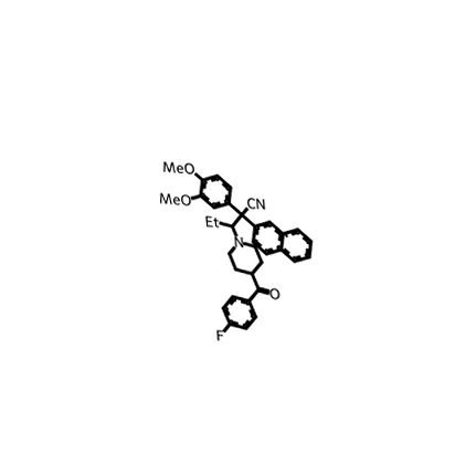 CCC(N1CCC(C(=O)c2ccc(F)cc2)CC1)C(C#N)(c1ccc(OC)c(OC)c1)c1ccc2ccccc2c1